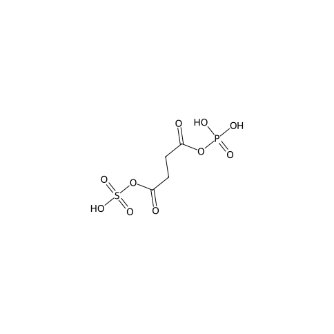 O=C(CCC(=O)OS(=O)(=O)O)OP(=O)(O)O